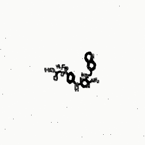 COP(OCC(=O)O)c1ccc(Nc2cnc(N)c(NCc3ccc4ncccc4c3)n2)cc1